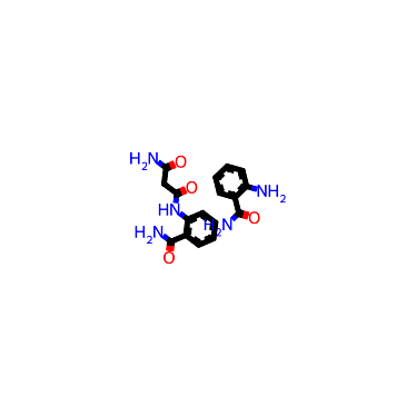 NC(=O)CC(=O)Nc1ccccc1C(N)=O.NC(=O)c1ccccc1N